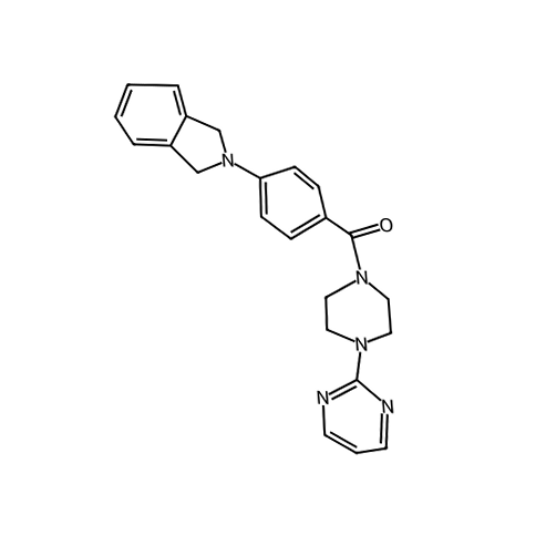 O=C(c1ccc(N2Cc3ccccc3C2)cc1)N1CCN(c2ncccn2)CC1